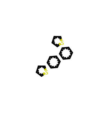 c1ccccc1.c1ccccc1.c1ccsc1.c1ccsc1